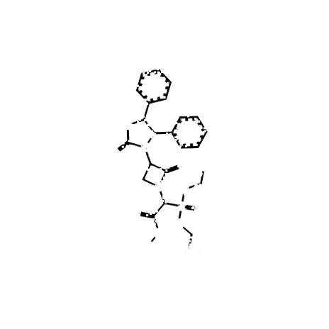 CCOP(=O)(OCC)C(C(=O)OC)N1CC(N2C(=O)OC(c3ccccc3)C2c2ccccc2)C1=O